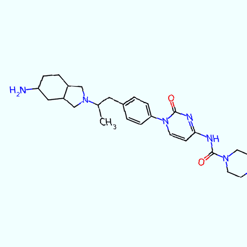 CC(Cc1ccc(-n2ccc(NC(=O)N3CCNCC3)nc2=O)cc1)N1CC2CCC(N)CC2C1